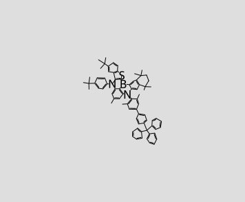 Cc1cc2c3c(c1)N(c1ccc(C(C)(C)C)cc1)c1c(sc4ccc(C(C)(C)C)cc14)B3c1cc3c(cc1N2c1c(C)cc(-c2ccc(C(c4ccccc4)(c4ccccc4)c4ccccc4)cc2)cc1C)C(C)(C)CCC3(C)C